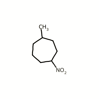 CC1CCCC([N+](=O)[O-])CC1